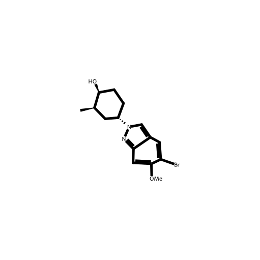 COc1cc2nn([C@H]3CC[C@H](O)[C@H](C)C3)cc2cc1Br